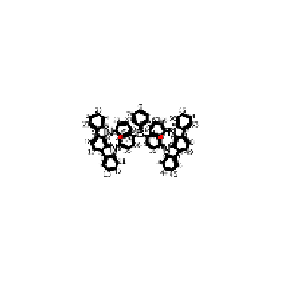 c1ccc(B(c2ccc(-n3c4ccccc4c4ccc5c6ccccc6n(-c6ccccc6)c5c43)cc2)c2ccc(-n3c4ccccc4c4ccc5c6ccccc6n(-c6ccccc6)c5c43)cc2)cc1